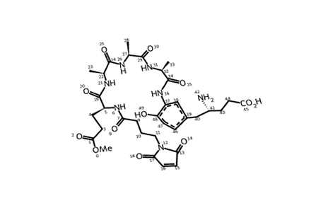 COC(=O)CC[C@H](NC(=O)CCCN1C(=O)C=CC1=O)C(=O)N[C@@H](C)C(=O)N[C@@H](C)C(=O)N[C@@H](C)C(=O)Nc1cc(C[C@H](N)CCC(=O)O)ccc1O